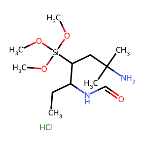 CCC(NC=O)C(CC(C)(C)N)[Si](OC)(OC)OC.Cl